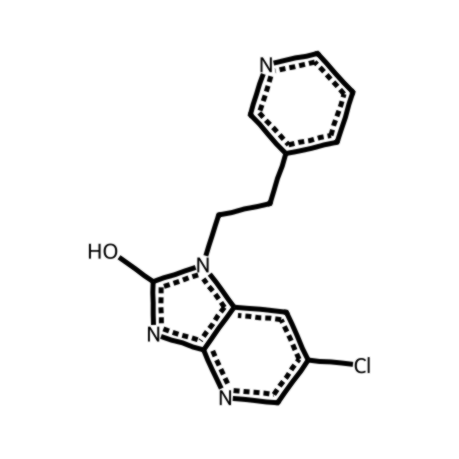 Oc1nc2ncc(Cl)cc2n1CCc1cccnc1